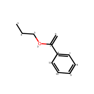 C=C(OCCC)c1ccccc1